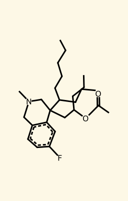 CCCCCC(CCC)C1(CC(CCC)OC(C)=O)CN(C)Cc2ccc(F)cc21